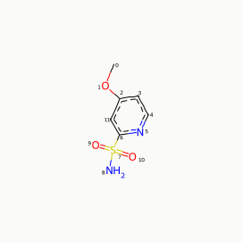 COc1ccnc(S(N)(=O)=O)c1